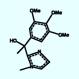 COc1cc(C(C)(O)c2nccn2C)cc(OC)c1OC